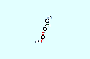 CCCCOc1ccc(OC[C@H]2CC[C@H](CC(Cl)[C@H]3CC[C@H](CCC)CC3)CC2)cc1